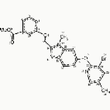 COC(=O)c1cccc(OCc2nc3ccc(Oc4ncc(C)cc4Br)cc3n2C)c1